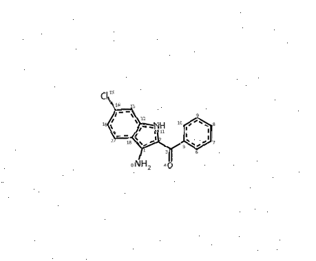 Nc1c(C(=O)c2ccccc2)[nH]c2cc(Cl)ccc12